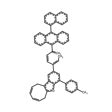 C=C(/C=C\C(=C/C)c1cc(-c2ccc(C)cc2)c2oc3c(c2c1)C/C=C\C=C/C3)c1c2ccccc2c(-c2cccc3ccccc23)c2ccccc12